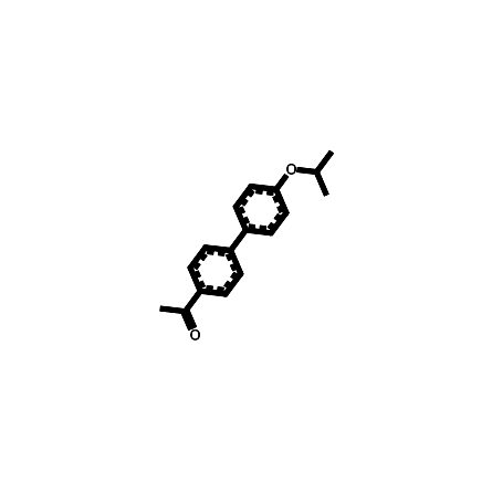 CC(=O)c1ccc(-c2ccc(OC(C)C)cc2)cc1